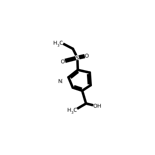 CCS(=O)(=O)c1ccc(C(C)O)cc1.[N]